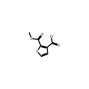 COC(=O)c1sccc1C(=O)Cl